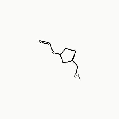 CCC1CCC(OC=O)C1